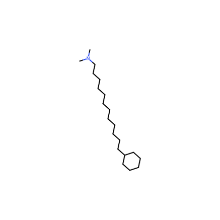 CN(C)CCCCCCCCCCCCC1CCCCC1